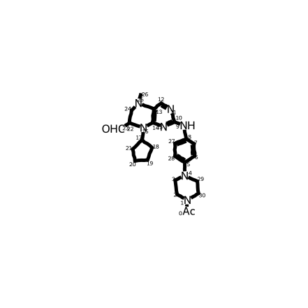 CC(=O)N1CCN(c2ccc(Nc3ncc4c(n3)N(C3CCCC3)C(C=O)CN4C)cc2)CC1